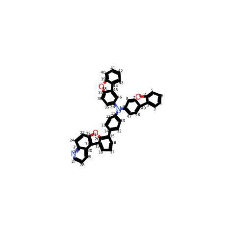 c1ccc2c(c1)oc1cc(N(c3ccc(-c4cccc5c4oc4ccc6ncccc6c45)cc3)c3ccc4oc5ccccc5c4c3)ccc12